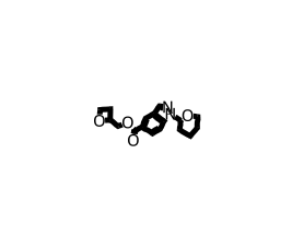 O=C(OCC1CCO1)c1ccc2c(cnn2C2CCCCO2)c1